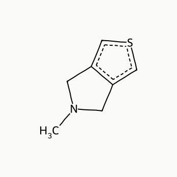 CN1Cc2cscc2C1